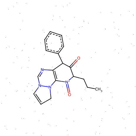 CCCC1C(=O)C(c2ccccc2)C2=C(N3CC=CN3C=N2)[N+]1=O